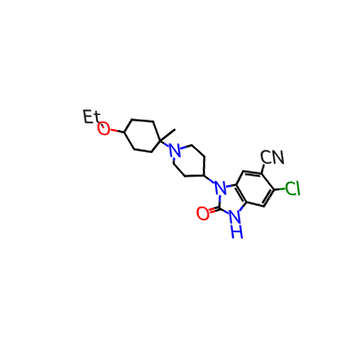 CCOC1CCC(C)(N2CCC(n3c(=O)[nH]c4cc(Cl)c(C#N)cc43)CC2)CC1